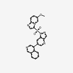 COc1ccc2ncc(S(=O)(=O)n3ncc4ncc(-c5cncc6ccccc56)cc43)n2c1